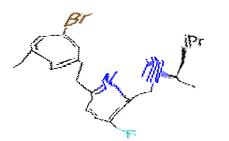 Cc1cc(Br)cc(-c2ccc(F)c(CN[C@H](C)C(C)C)n2)c1